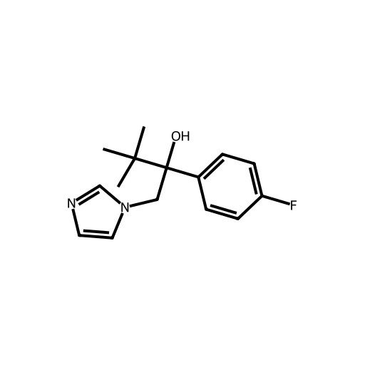 CC(C)(C)C(O)(Cn1ccnc1)c1ccc(F)cc1